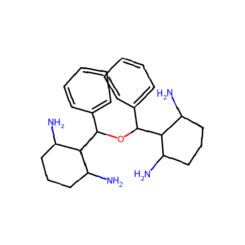 NC1CCCC(N)C1C(OC(c1ccccc1)C1C(N)CCCC1N)c1ccccc1